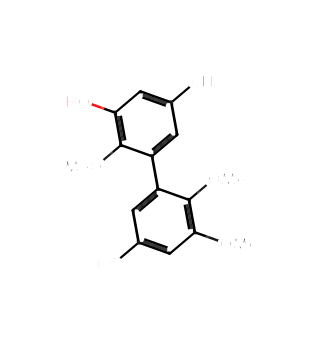 COc1cc(C)cc(-c2cc(C)cc(O)c2OC)c1OC